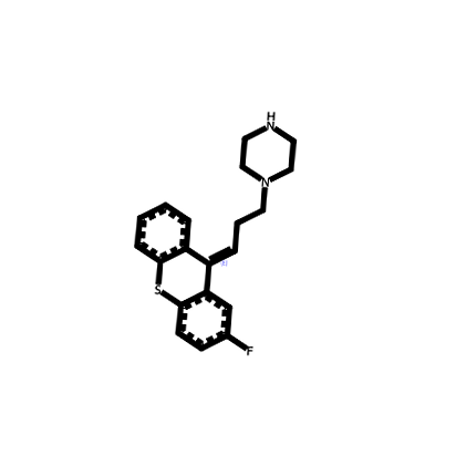 Fc1ccc2c(c1)/C(=C/CCN1CCNCC1)c1ccccc1S2